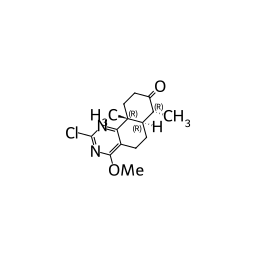 COc1nc(Cl)nc2c1CC[C@@H]1[C@@H](C)C(=O)CC[C@@]21C